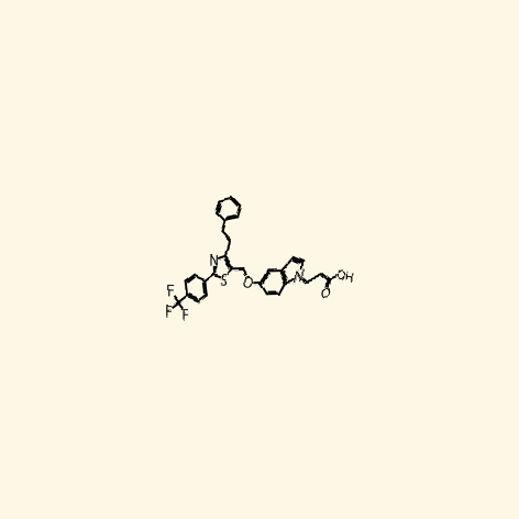 O=C(O)CCn1ccc2cc(OCc3sc(-c4ccc(C(F)(F)F)cc4)nc3CCc3ccccc3)ccc21